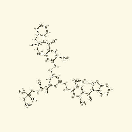 COc1cc(C(=O)N2c3ccccc3C[C@H]2C)c(N)cc1OCc1cc(COc2cc3c(cc2OC)C(=O)N2c4ccccc4C[C@H]2CN3)cc(NC(=O)CCC(C)(C)SSC)c1